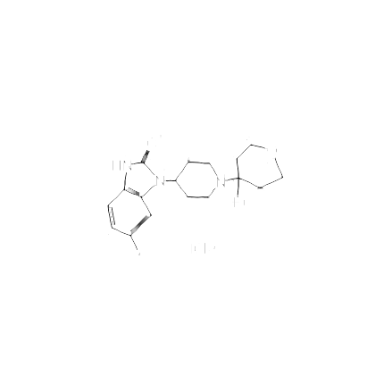 CCC1(N2CCC(n3c(=O)[nH]c4ccc(C)cc43)CC2)CCOCC1.Cl